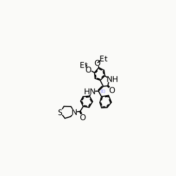 CCOc1cc2c(cc1OCC)/C(=C(\Nc1ccc(C(=O)N3CCSCC3)cc1)c1ccccc1)C(=O)N2